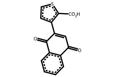 O=C1C=C(c2ccsc2C(=O)O)C(=O)c2ccccc21